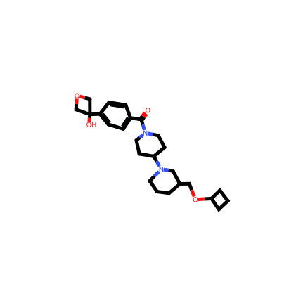 O=C(c1ccc(C2(O)COC2)cc1)N1CCC(N2CCCC(COC3CCC3)C2)CC1